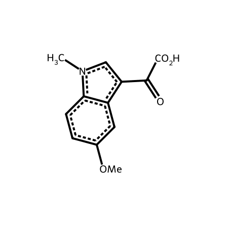 COc1ccc2c(c1)c(C(=O)C(=O)O)cn2C